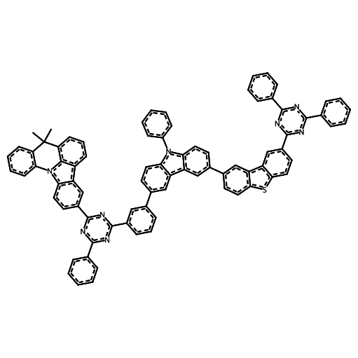 CC1(C)c2ccccc2-n2c3ccc(-c4nc(-c5ccccc5)nc(-c5cccc(-c6ccc7c(c6)c6cc(-c8ccc9sc%10ccc(-c%11nc(-c%12ccccc%12)nc(-c%12ccccc%12)n%11)cc%10c9c8)ccc6n7-c6ccccc6)c5)n4)cc3c3cccc1c32